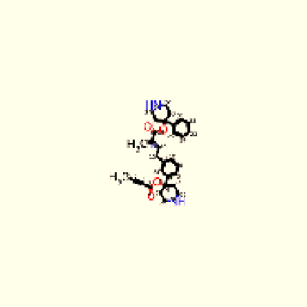 CC#CC(=O)OC1(c2cccc(C/C=C(\C)C(=O)OC3(c4ccccc4)CCNCC3)c2)CCNCC1